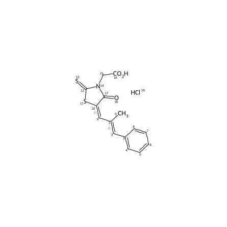 CC(=C\c1ccccc1)/C=C1/SC(=S)N(CC(=O)O)C1=O.Cl